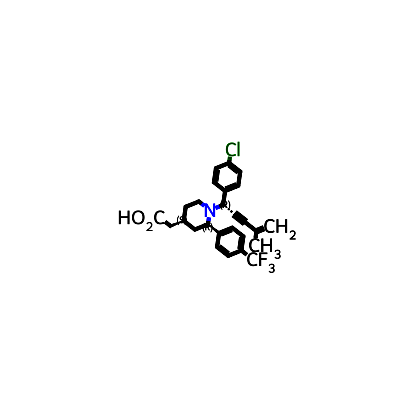 C=C(C)C#C[C@@H](c1ccc(Cl)cc1)N1CC[C@H](CC(=O)O)C[C@@H]1c1ccc(C(F)(F)F)cc1